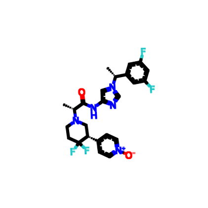 C[C@H](C(=O)Nc1cn([C@H](C)c2cc(F)cc(F)c2)cn1)N1CCC(F)(F)[C@@H](c2cc[n+]([O-])cc2)C1